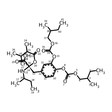 CCC(C)COC(=O)Oc1ccc(C[C@](NC(C)CC)(OC(=O)C(C)C(C)C)C(=O)O)cc1OC(=O)OCC(C)CC